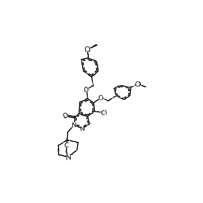 COc1ccc(COc2cc3c(=O)n(CC45CCN(CC4)CC5)ncc3c(Cl)c2OCc2ccc(OC)cc2)cc1